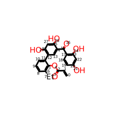 C=CC(=O)Oc1c(CC)cccc1-c1cc(C(=O)c2ccc(O)cc2O)c(O)cc1O